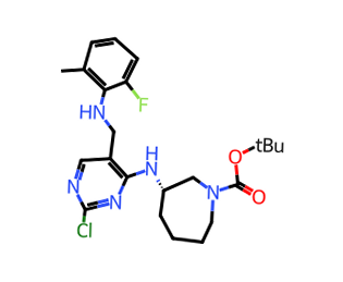 Cc1cccc(F)c1NCc1cnc(Cl)nc1N[C@H]1CCCCN(C(=O)OC(C)(C)C)C1